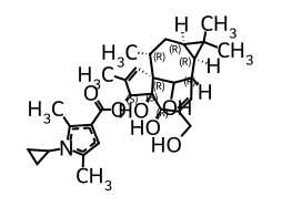 CC1=C[C@]23C(O)[C@@H](C=C(CO)[C@@H](O)[C@]2(O)[C@H]1OC(=O)c1cc(C)n(C2CC2)c1C)[C@H]1[C@@H](C[C@H]3C)C1(C)C